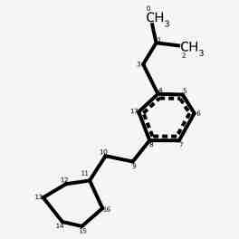 CC(C)Cc1cccc(CCC2CCCCC2)c1